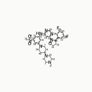 CN1CCN(C2CCN(c3cc(Nc4cc(N5OCC[C@@H]5c5cc(F)cc(F)c5)ncn4)cc(S(C)(=O)=O)c3)CC2)CC1